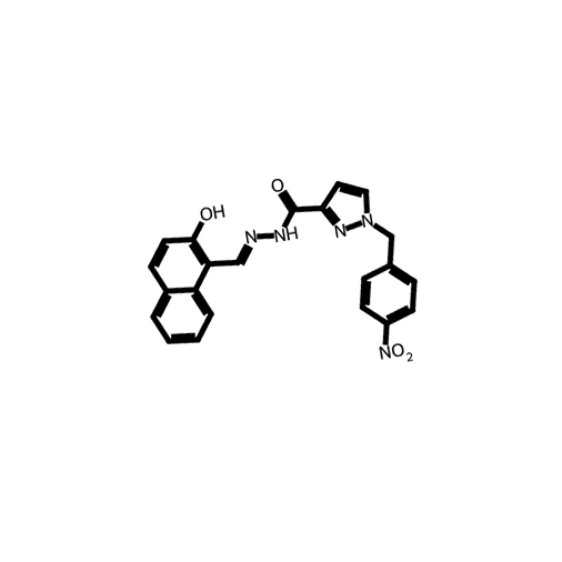 O=C(N/N=C/c1c(O)ccc2ccccc12)c1ccn(Cc2ccc([N+](=O)[O-])cc2)n1